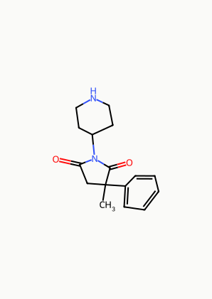 CC1(c2ccccc2)CC(=O)N(C2CCNCC2)C1=O